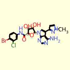 Cn1ccc(-c2cn([C@@H]3O[C@H](C(=O)Nc4ccc(Br)c(Cl)c4)[C@@H](O)[C@H]3O)c3ncnc(N)c23)n1